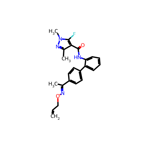 C=CCON=C(C)c1ccc(-c2ccccc2NC(=O)c2c(C)nn(C)c2F)cc1